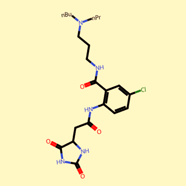 CCCCN(CCC)CCCNC(=O)c1cc(Cl)ccc1NC(=O)CC1NC(=O)NC1=O